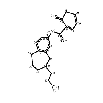 N=C(Nc1ccc2c(c1)CN(CCO)CCC2)C1=CC=CCC1=S